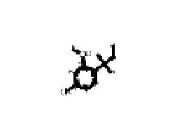 CCC(C)(C)c1ccc(Cl)cc1OC